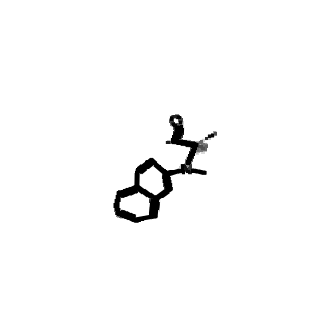 C[C@@H]([C]=O)N(C)c1ccc2ccccc2c1